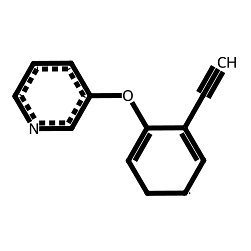 C#CC1=C[CH]CC=C1Oc1cccnc1